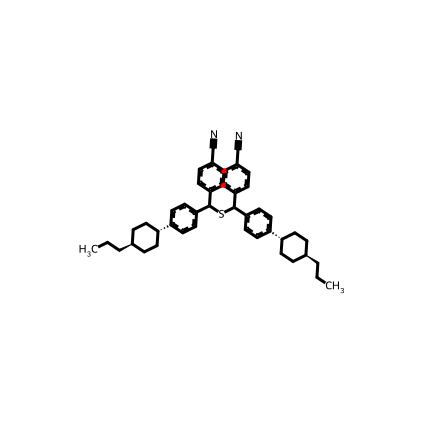 CCC[C@H]1CC[C@H](c2ccc(C(SC(c3ccc(C#N)cc3)c3ccc([C@H]4CC[C@H](CCC)CC4)cc3)c3ccc(C#N)cc3)cc2)CC1